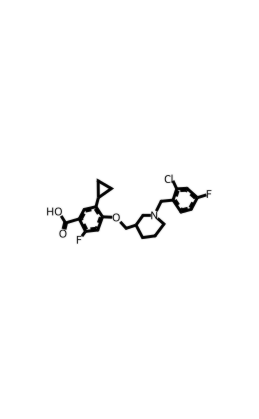 O=C(O)c1cc(C2CC2)c(OCC2CCCN(Cc3ccc(F)cc3Cl)C2)cc1F